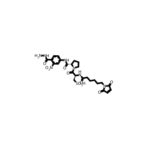 NNC(=O)c1ccc(NC(=O)[C@@H]2CCCN2C(=O)[C@H](CS(=O)(=O)O)NC(=O)CCCCCN2C(=O)C=CC2=O)cc1[N+](=O)[O-]